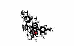 CCN(c1nnc(-c2cccc(OC)n2)n1-c1c(OC)cccc1OC)S(=O)(=O)[C@@H](C)[C@@H](O)c1ccc(C#N)cc1